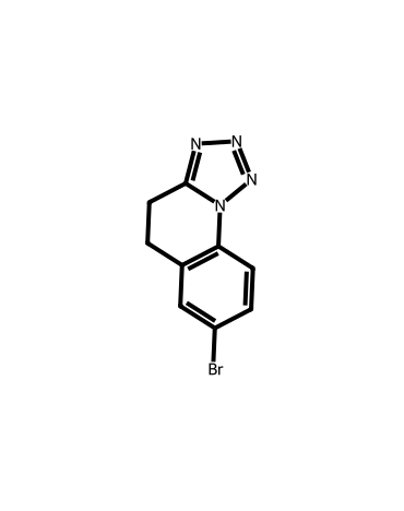 Brc1ccc2c(c1)CCc1nnnn1-2